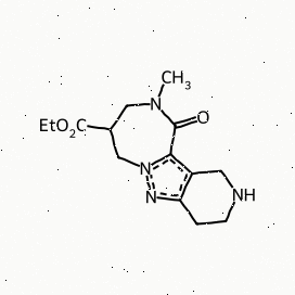 CCOC(=O)C1CN(C)C(=O)c2c3c(nn2C1)CCNC3